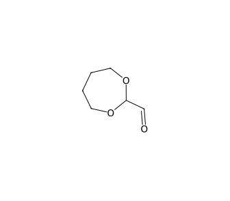 O=CC1OCCCCO1